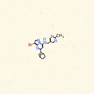 Cc1ncc(CNc2cc(C3CC4CCC3C4)nc3c(Br)cnn23)cn1